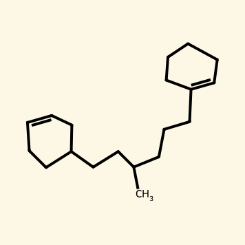 CC(CCCC1=CCCCC1)CCC1CC=CCC1